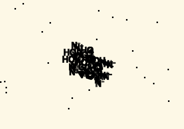 C=[N+](C)C1([C@@H]2CCC(N=[N+]=[N-])[C@@H](C3C(N=[N+]=[N-])CC(N=[N+]=[N-])[C@H](O)[C@H]3O[C@@H]3O[C@H](CO)[C@@H](O[C@H]4O[C@@H](CN=[N+]=[N-])[C@@H](O)[C@H](O)C4N=[N+]=[N-])[C@H]3O)O2)CC1